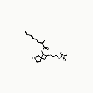 CCCCCCC(C)C(=O)OC1C(OCCOS(C)(=O)=O)CC12CCNC2